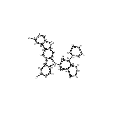 Cc1ccc2sc3cc4c(cc3c2c1)c1cc(C)ccc1n4-c1nc(-c2ccccc2)c2ccccc2n1